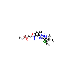 COC(=O)CCC(=O)Nc1ccc(C)c(-c2nn3nc(C(C)(C)C)c(Cl)c3[nH]2)c1